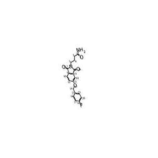 NC(=O)CCCN1C(=O)c2ccc(OCc3ccc(F)cc3)cc2C1=O